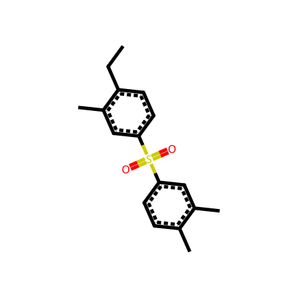 CCc1ccc(S(=O)(=O)c2ccc(C)c(C)c2)cc1C